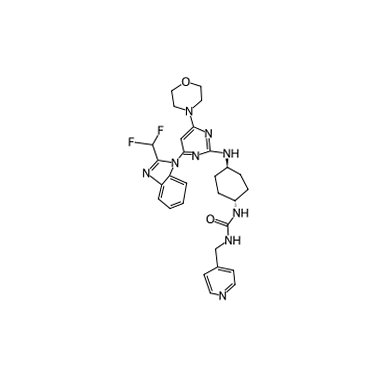 O=C(NCc1ccncc1)N[C@H]1CC[C@H](Nc2nc(N3CCOCC3)cc(-n3c(C(F)F)nc4ccccc43)n2)CC1